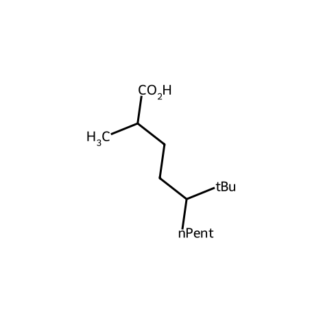 CCCCCC(CCC(C)C(=O)O)C(C)(C)C